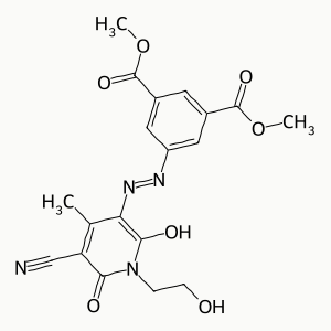 COC(=O)c1cc(N=Nc2c(C)c(C#N)c(=O)n(CCO)c2O)cc(C(=O)OC)c1